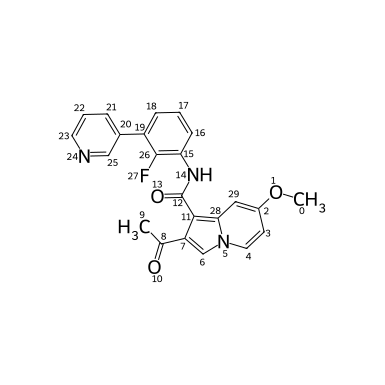 COc1ccn2cc(C(C)=O)c(C(=O)Nc3cccc(-c4cccnc4)c3F)c2c1